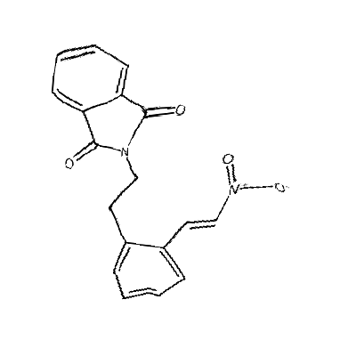 O=C1c2ccccc2C(=O)N1CCc1ccccc1C=C[N+](=O)[O-]